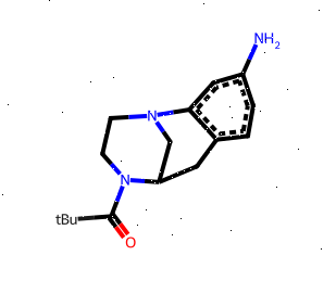 CC(C)(C)C(=O)N1CCN2CC1Cc1ccc(N)cc12